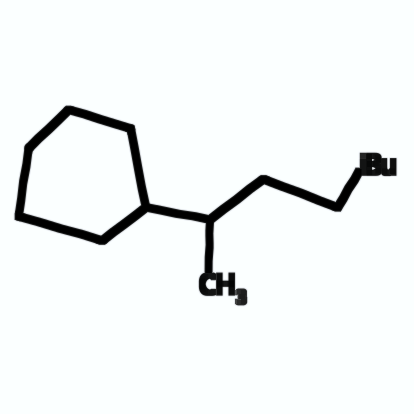 CCC(C)CCC(C)C1CCCCC1